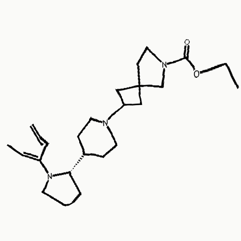 C=C/C(=C\C)N1CCC[C@H]1C1CCN(C2CC3(CCN(C(=O)OCC)C3)C2)CC1